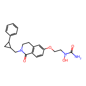 NC(=O)N(O)CCOc1ccc2c(c1)CCN(CC1CC1c1ccccc1)C2=O